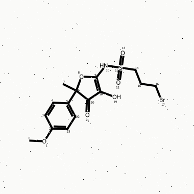 COc1ccc(C2(C)OC(NS(=O)(=O)CCCBr)=C(O)C2=O)cc1